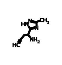 C#CCC(N)c1nc(C)n[nH]1